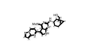 CNc1nc(N[C@H]2CC[C@]3(CCO)CC3C2)nc2[nH]cc(-c3ccn4nccc4n3)c12